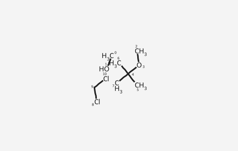 CO.COC(C)(C)C.ClCCl